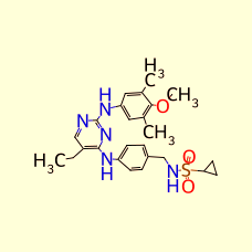 CCc1cnc(Nc2cc(C)c(OC)c(C)c2)nc1Nc1ccc(CNS(=O)(=O)C2CC2)cc1